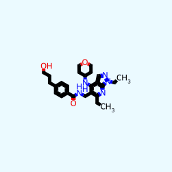 CCc1nc2c(cnn2CC)c(NC2CCOCC2)c1CNC(=O)c1ccc(CCCO)cc1